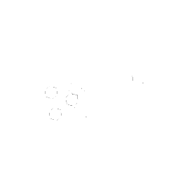 CC(C)N(CCOCCOCC(=O)O)c1cnc(-c2ccccc2)c(-c2ccccc2)n1.[KH]